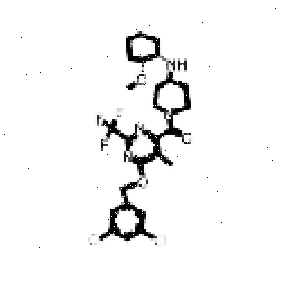 CO[C@@H]1CCCC[C@@H]1NC1CCN(C(=O)c2nc(C(F)(F)F)nc(OCc3cc(Cl)cc(Cl)c3)c2C)CC1